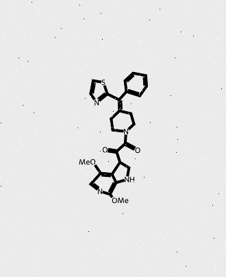 COc1cnc(OC)c2c1C(C(=O)C(=O)N1CCC(=C(c3ccccc3)c3nccs3)CC1)CN2